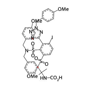 COc1ccc(CN(Cc2ccc(OC)cc2)S(=O)(=O)c2c(S(=O)(=O)CC(C)(C)NC(=O)O)ccc(I)c2-c2nnn(Cc3ccc(OC)cc3)n2)cc1